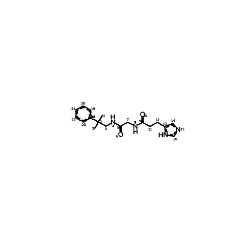 CC(C)(CNC(=O)CNC(=O)CCc1cnc[nH]1)c1ccccc1